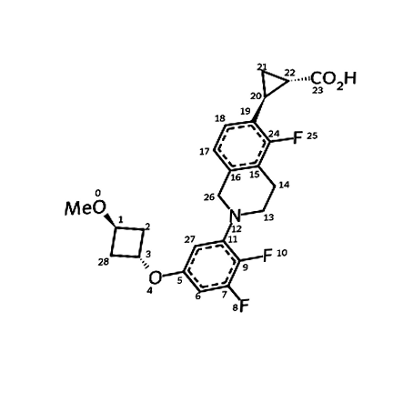 CO[C@H]1C[C@H](Oc2cc(F)c(F)c(N3CCc4c(ccc([C@H]5C[C@@H]5C(=O)O)c4F)C3)c2)C1